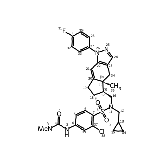 CNC(=O)Nc1ccc(S(=O)(=O)N(CC2CC2)C[C@H]2CCC3=Cc4c(cnn4-c4ccc(F)cc4)C[C@@]32C)c(Cl)c1